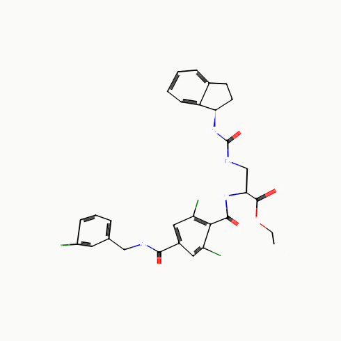 CCOC(=O)C(CNC(=O)N[C@@H]1CCc2ccccc21)NC(=O)c1c(Cl)cc(C(=O)NCc2cccc(Cl)c2)cc1Cl